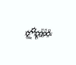 CCn1nc(-c2cccc(-c3cccc(OC)c3)c2)cc(NC(=O)Nc2c(Cl)cncc2Cl)c1=O